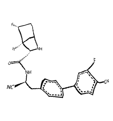 N#Cc1ccc(-c2ccc(C[C@@H](C#N)NC(=O)[C@H]3NC4C[C@@H](F)[C@@H]43)cc2)cc1F